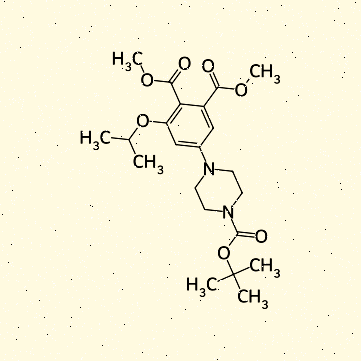 COC(=O)c1cc(N2CCN(C(=O)OC(C)(C)C)CC2)cc(OC(C)C)c1C(=O)OC